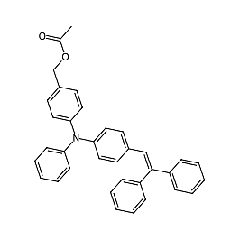 CC(=O)OCc1ccc(N(c2ccccc2)c2ccc(C=C(c3ccccc3)c3ccccc3)cc2)cc1